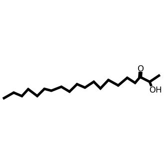 CCCCCCCCCCCCCCCCCC(=O)C(C)O